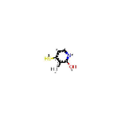 Cc1c(S)ccnc1O